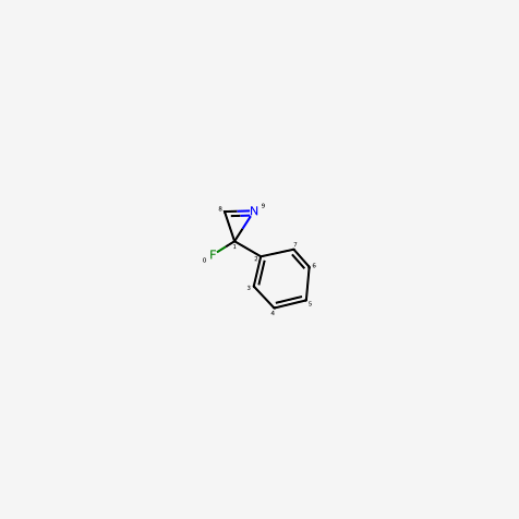 FC1(c2ccccc2)C=N1